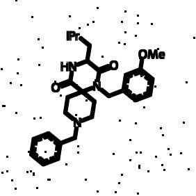 COc1cccc(CN2C(=O)C(CC(C)C)NC(=O)C23CCN(Cc2ccccc2)CC3)c1